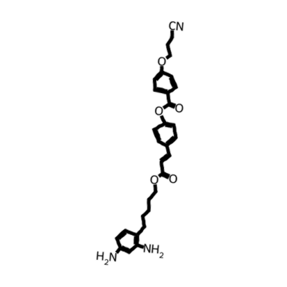 N#CCCCOc1ccc(C(=O)Oc2ccc(/C=C/C(=O)OCCCCCc3ccc(N)cc3N)cc2)cc1